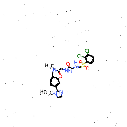 CN(Cc1ccc(C2=NCCN2C(=O)O)cc1)C(=O)CNC(=O)CNCS(=O)(=O)c1cccc(Cl)c1Cl